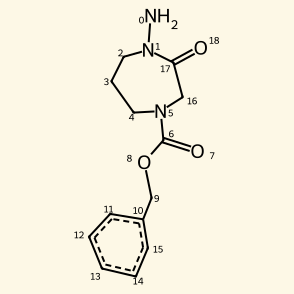 NN1CCCN(C(=O)OCc2ccccc2)CC1=O